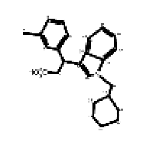 Cc1cccc(C(CC(=O)O)c2cn(CC3CCCCC3)c3ccccc23)c1